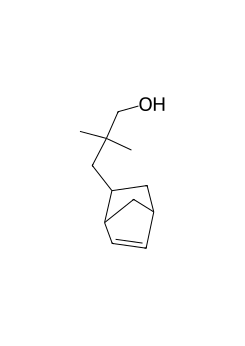 CC(C)(CO)CC1CC2C=CC1C2